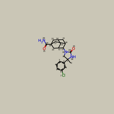 CC1(c2cccc(Cl)c2)CN(C2C3CC4CC2CC(C(N)=O)(C4)C3)C(=O)N1